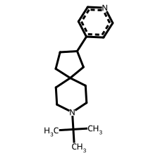 CC(C)(C)N1CCC2(CCC(c3ccncc3)C2)CC1